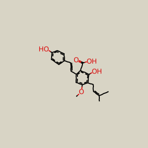 COc1cc(/C=C/c2ccc(O)cc2)c(C(=O)O)c(O)c1CC=C(C)C